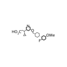 COc1ccc(F)c([C@H]2CC[C@H](COc3cncc(C(CC(=O)O)C4CC4)c3)CC2)c1